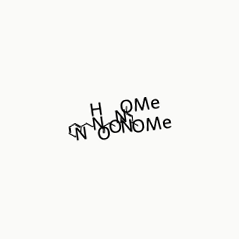 COc1cc(OC)nc(OCC(=O)NCCc2ccccn2)n1